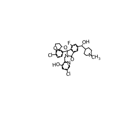 CN1CCC([C@H](O)c2cc(F)c3c(c2)C(=O)N(Cc2ncc(Cl)cc2O)[C@@]3(O[C@H]2CCOC2)c2ccc(Cl)cc2)CC1